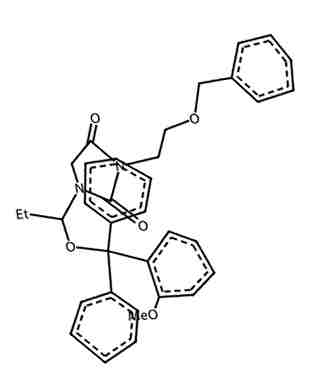 CCC(OC(c1ccccc1)(c1ccccc1)c1ccccc1OC)N1CC(=O)N(CCOCc2ccccc2)C1=O